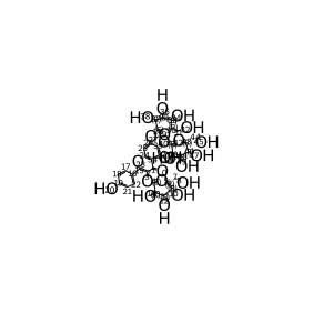 O=c1c(O[C@@H]2O[C@H](CO)[C@@H](O)[C@H](O)[C@H]2O)c(-c2ccc(O)cc2)oc2cc(O[C@@H]3O[C@H](CO)[C@@H](O)[C@H](O)[C@H]3O)c(O[C@@H]3O[C@H](CO)[C@@H](O)[C@H](O)[C@H]3O)c(O)c12